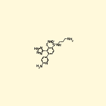 NCCCN[S+]([O-])c1ccc(-c2ccc(N)nc2)c(-c2nn[nH]n2)c1SN